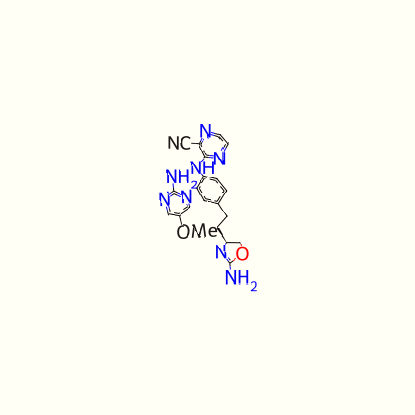 COc1cnc(N)nc1.N#Cc1nccnc1Nc1ccc(CC[C@H]2COC(N)=N2)cc1